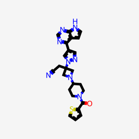 N#CCC1(n2cc(-c3ncnc4[nH]ccc34)cn2)CN(C2CCN(C(=O)c3cccs3)CC2)C1